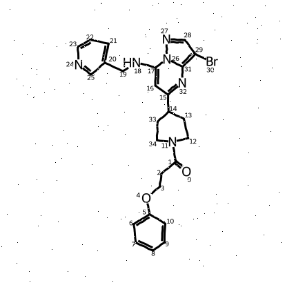 O=C(CCOc1ccccc1)N1CCC(c2cc(NCc3cccnc3)n3ncc(Br)c3n2)CC1